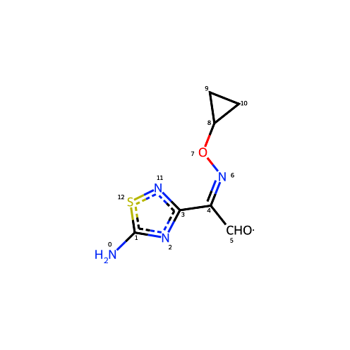 Nc1nc(/C([C]=O)=N\OC2CC2)ns1